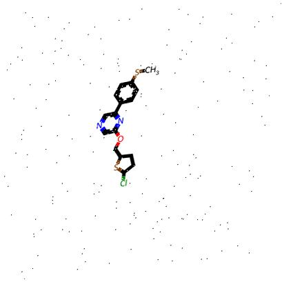 CSc1ccc(-c2cncc(OCC3CCC(Cl)S3)n2)cc1